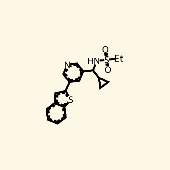 CCS(=O)(=O)NC(c1cncc(-c2cc3ccccc3s2)c1)C1CC1